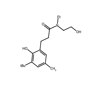 CCN(CCO)C(=O)CCc1cc(C)cc(C(C)(C)C)c1O